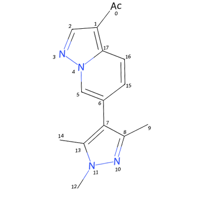 CC(=O)c1cnn2cc(-c3c(C)nn(C)c3C)ccc12